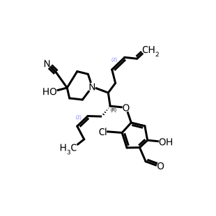 C=C/C=C\CC([C@@H](C/C=C\CC)Oc1cc(O)c(C=O)cc1Cl)N1CCC(O)(C#N)CC1